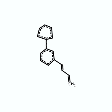 C=CC=Cc1cccc(-c2ccccc2)c1